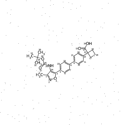 Cc1noc(-c2ccc(-c3ccc(C4(C(=O)O)CCC4)cc3)cc2)c1NC(=O)OC(C)(C)C